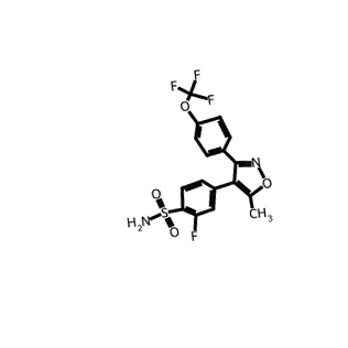 Cc1onc(-c2ccc(OC(F)(F)F)cc2)c1-c1ccc(S(N)(=O)=O)c(F)c1